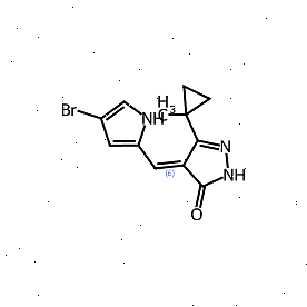 CC1(C2=NNC(=O)/C2=C/c2cc(Br)c[nH]2)CC1